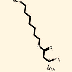 CCCCCCCCCCCCCCCCOC(=O)C[C@H](N)C(=O)O